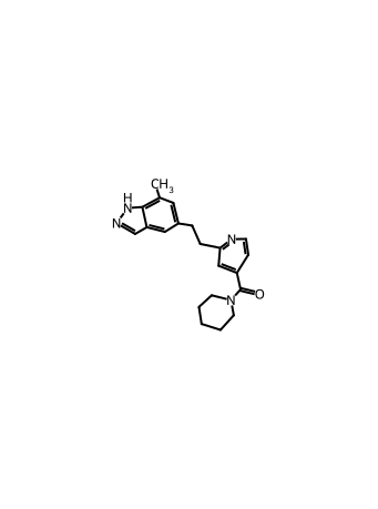 Cc1cc(CCc2cc(C(=O)N3CCCCC3)ccn2)cc2cn[nH]c12